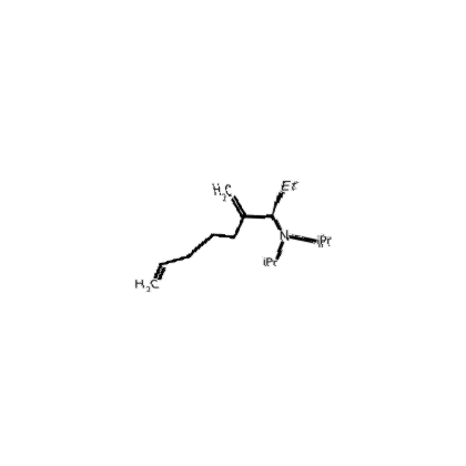 C=CCCCC(=C)[C@@H](CC)N(C(C)C)C(C)C